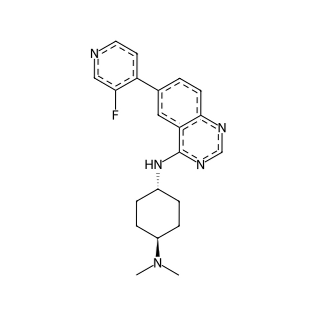 CN(C)[C@H]1CC[C@H](Nc2ncnc3ccc(-c4ccncc4F)cc23)CC1